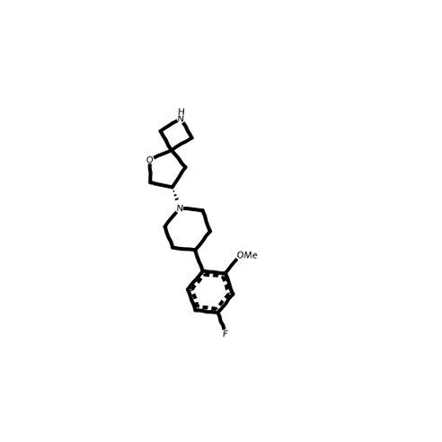 COc1cc(F)ccc1C1CCN([C@@H]2COC3(CNC3)C2)CC1